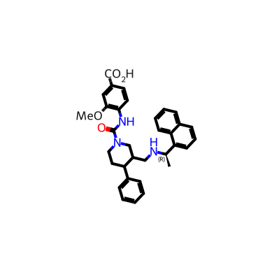 COc1cc(C(=O)O)ccc1NC(=O)N1CCC(c2ccccc2)C(CN[C@H](C)c2cccc3ccccc23)C1